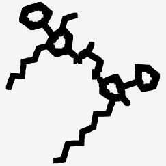 CCCCCCCCc1cc(N=CC(C)=Nc2cc(CC)c(-c3ccccc3)c(CCCCCC)c2)cc(-c2ccccc2)c1C